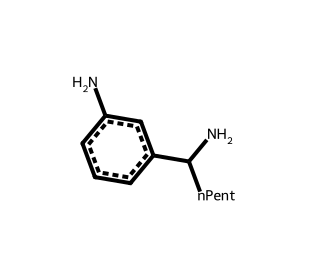 CCCCCC(N)c1cccc(N)c1